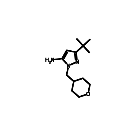 CC(C)(C)c1cc(N)n(CC2CCOCC2)n1